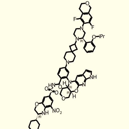 CC(C)Oc1ccccc1[C@@H]1CN(c2c(F)cc3c(c2F)CCOC3)CCN1C1CC2(CCN(c3ccc(C(=O)NS(=O)(=O)c4cc5c(c([N+](=O)[O-])c4)N[C@H](C4CCOCC4)CO5)c(N4c5cc6cc[nH]c6nc5O[C@H]5COCC[C@@H]54)c3)CC2)C1